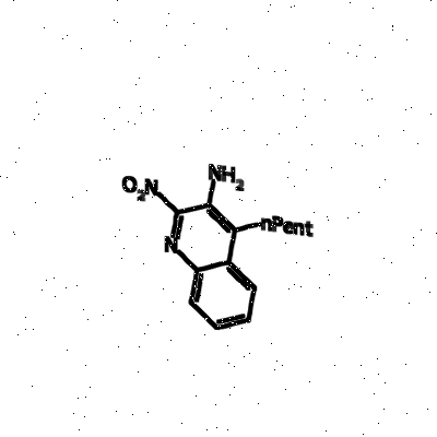 CCCCCc1c(N)c([N+](=O)[O-])nc2ccccc12